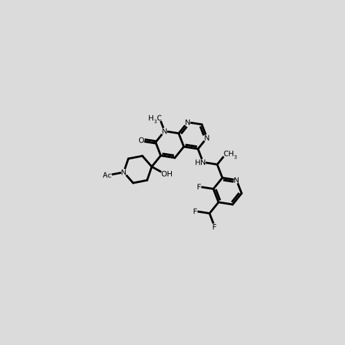 CC(=O)N1CCC(O)(c2cc3c(NC(C)c4nccc(C(F)F)c4F)ncnc3n(C)c2=O)CC1